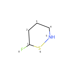 FC1CCCNS1